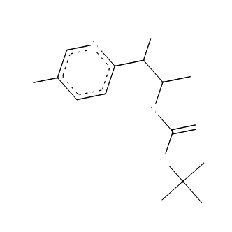 CC(NC(=O)OC(C)(C)C)C(O)c1ccc(F)cn1